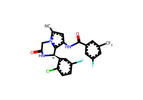 N#Cc1cc(NC(=O)c2cc(F)cc(C(F)(F)F)c2)c2n1CC(=O)N[C@@H]2c1cc(F)ccc1Cl